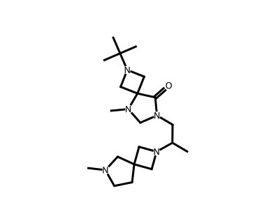 CC(CN1CN(C)C2(CN(C(C)(C)C)C2)C1=O)N1CC2(CCN(C)C2)C1